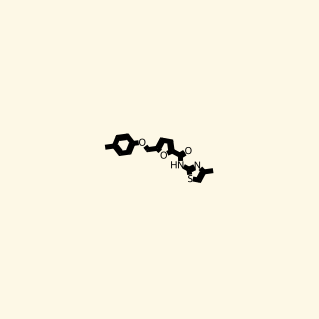 Cc1ccc(OCc2ccc(C(=O)Nc3nc(C)cs3)o2)cc1